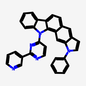 c1ccc(-n2ccc3cc4ccc5c6ccccc6n(-c6ccnc(-c7cccnc7)n6)c5c4cc32)cc1